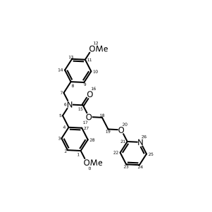 COc1ccc(CN(Cc2ccc(OC)cc2)C(=O)OCCOc2ccccn2)cc1